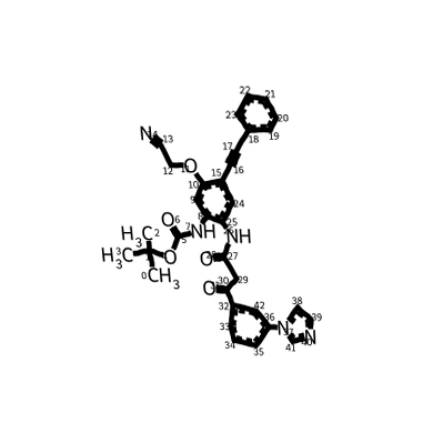 CC(C)(C)OC(=O)Nc1cc(OCC#N)c(C#Cc2ccccc2)cc1NC(=O)CC(=O)c1cccc(-n2ccnc2)c1